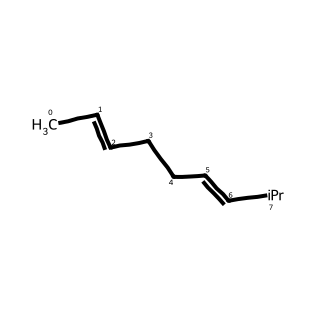 C/C=C/CCC=CC(C)C